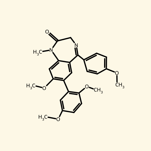 COc1ccc(C2=NCC(=O)N(C)c3cc(OC)c(-c4cc(OC)ccc4OC)cc32)cc1